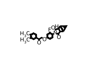 Cc1ccc(C(=O)COc2ccc(N3C(=O)C4C5C=CC(C6CC56)[C@H]4C3=O)c(F)c2)cc1C